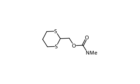 CNC(=O)OCC1SCCCS1